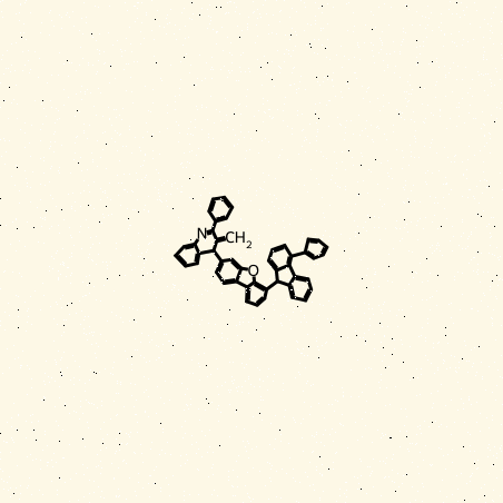 C=C1C(c2ccccc2)=Nc2ccccc2C1c1ccc2c(c1)oc1c(C3c4ccccc4-c4c(-c5ccccc5)cccc43)cccc12